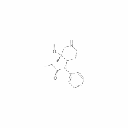 CCC(=O)N(c1ccccc1)[C@@H]1CCNC[C@@]1(C)OC